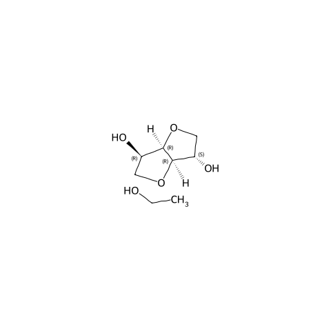 CCO.O[C@@H]1CO[C@H]2[C@@H]1OC[C@@H]2O